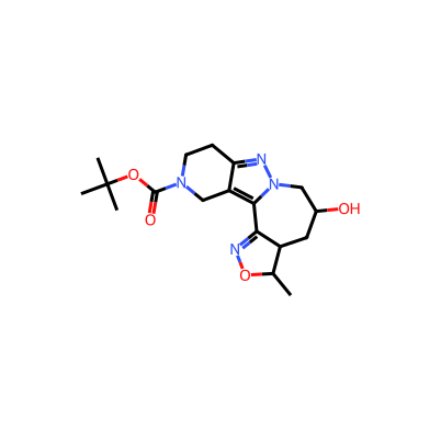 CC1ON=C2c3c4c(nn3CC(O)CC21)CCN(C(=O)OC(C)(C)C)C4